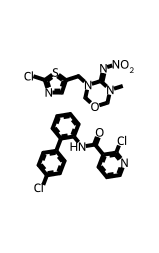 CN1COCN(Cc2cnc(Cl)s2)/C1=N/[N+](=O)[O-].O=C(Nc1ccccc1-c1ccc(Cl)cc1)c1cccnc1Cl